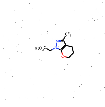 CCOC(=O)Cn1nc(C(F)(F)F)c2c1OCCC2